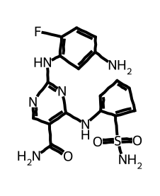 NC(=O)c1cnc(Nc2cc(N)ccc2F)nc1Nc1ccccc1S(N)(=O)=O